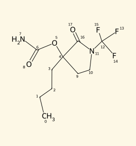 CCCCC1(OC(N)=O)CCN(C(F)(F)F)C1=O